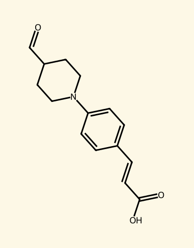 O=CC1CCN(c2ccc(/C=C/C(=O)O)cc2)CC1